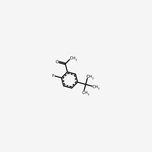 CC(=O)c1cc(C(C)(C)C)ccc1F